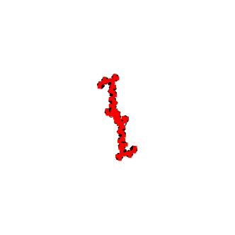 CC1(C)c2cc(-c3cc(-c4ccccc4)cc(-c4cccc(-c5ccccc5)c4)c3)ccc2-c2ccc(-c3ccc4c(c3)C(C)(C)c3cc(-c5cc6c(c7c5oc5ccccc57)-c5cc7c(cc5[Si]6(C)C)-c5c(cc(-c6ccc8c(c6)C(C)(C)c6cc(-c9ccc%10c(c9)C(C)(C)c9cc(-c%11cc(-c%12ccccc%12)cc(-c%12cccc(-c%13ccccc%13)c%12)c%11)ccc9-%10)ccc6-8)c6c5oc5ccccc56)[Si]7(C)C)ccc3-4)cc21